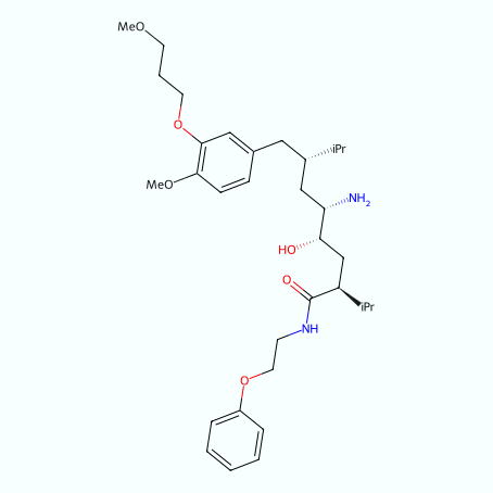 COCCCOc1cc(C[C@@H](C[C@H](N)[C@@H](O)C[C@H](C(=O)NCCOc2ccccc2)C(C)C)C(C)C)ccc1OC